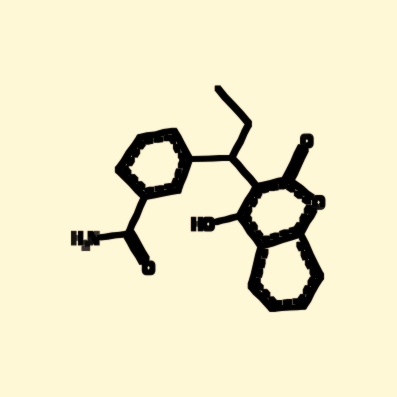 CCC(c1cccc(C(N)=O)c1)c1c(O)c2ccccc2oc1=O